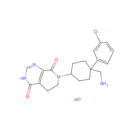 Cl.NCC1(c2cccc(Cl)c2)CCC(N2CCc3c(nc[nH]c3=O)C2=O)CC1